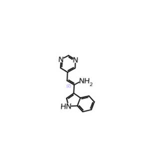 N/C(=C\c1cncnc1)c1c[nH]c2ccccc12